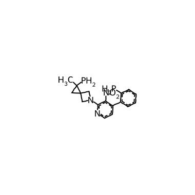 CC1(P)CC12CN(c1nccc(-c3ccccc3P)c1[N+](=O)[O-])C2